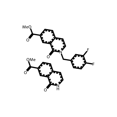 COC(=O)c1ccc2cc[nH]c(=O)c2c1.COC(=O)c1ccc2ccn(Cc3ccc(F)c(F)c3)c(=O)c2c1